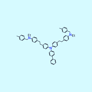 CCN(Cc1ccc(C)cc1)c1ccc(CCc2ccc(N(c3ccc(CCc4ccc(N(CC)Cc5ccc(C)cc5)cc4)cc3)c3ccc(-c4ccccc4)cc3)cc2)cc1